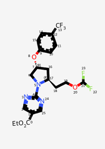 CCOC(=O)c1cnc(N2C[C@H](Oc3ccc(C(F)(F)F)cc3)C[C@H]2CCOC(F)F)nc1